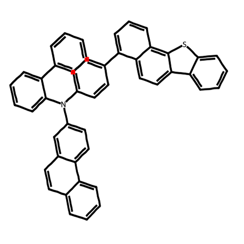 c1ccc(-c2ccccc2N(c2ccc(-c3cccc4c3ccc3c5ccccc5sc43)cc2)c2ccc3c(ccc4ccccc43)c2)cc1